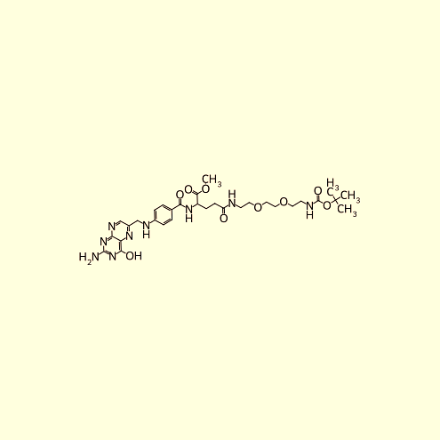 COC(=O)C(CCC(=O)NCCOCCOCCNC(=O)OC(C)(C)C)NC(=O)c1ccc(NCc2cnc3nc(N)nc(O)c3n2)cc1